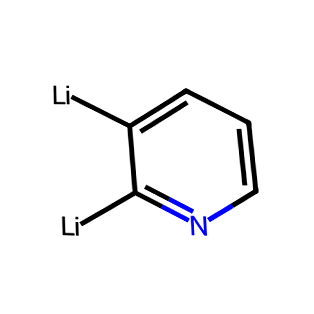 [Li][c]1cccn[c]1[Li]